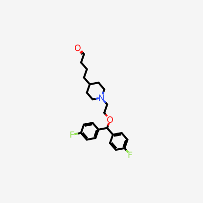 O=CCCCC1CCN(CCOC(c2ccc(F)cc2)c2ccc(F)cc2)CC1